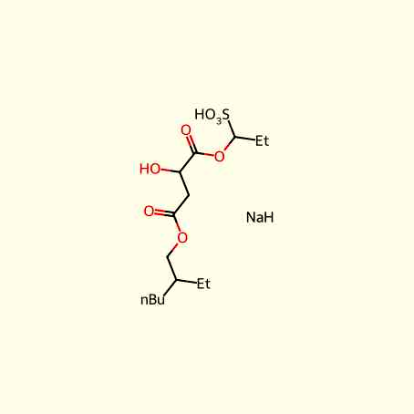 CCCCC(CC)COC(=O)CC(O)C(=O)OC(CC)S(=O)(=O)O.[NaH]